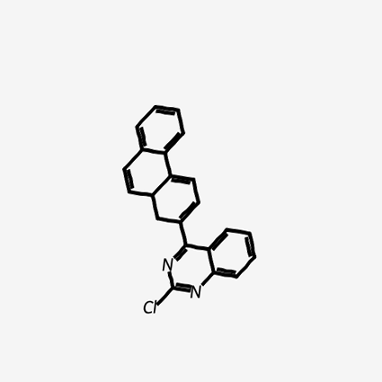 Clc1nc(C2=CC=C3c4ccccc4C=CC3C2)c2ccccc2n1